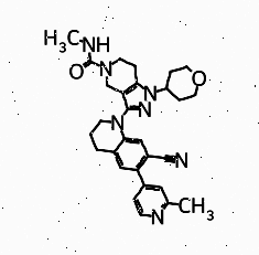 CNC(=O)N1CCc2c(c(N3CCCc4cc(-c5ccnc(C)c5)c(C#N)cc43)nn2C2CCOCC2)C1